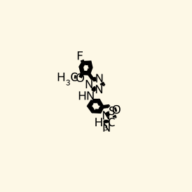 CCS(=O)(Cc1cccc(Nc2ncnc(-c3ccc(F)cc3OC)n2)c1)=NC#N